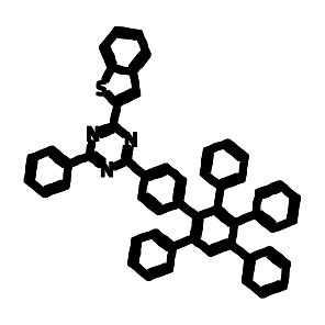 c1ccc(-c2nc(-c3ccc(-c4c(-c5ccccc5)cc(-c5ccccc5)c(-c5ccccc5)c4-c4ccccc4)cc3)nc(-c3cc4ccccc4s3)n2)cc1